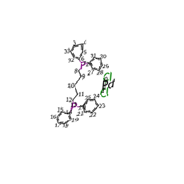 [Cl][Pd][Cl].c1ccc(P(CCCCCP(c2ccccc2)c2ccccc2)c2ccccc2)cc1